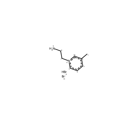 Br.Cc1ccc[n+](CCN)c1.[Br-]